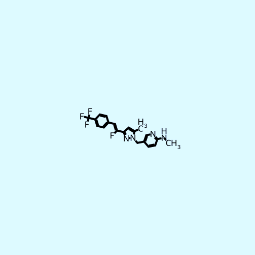 CNc1ccc(Cn2nc(C(F)=Cc3ccc(C(F)(F)F)cc3)cc2C)cn1